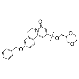 CC(C)(OC[C@@H]1COCCO1)c1cc2n(c(=O)c1)CCc1cc(OCc3ccccc3)ccc1-2